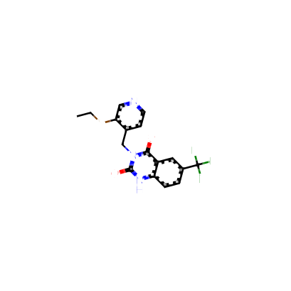 CCSc1cnccc1Cn1c(=O)[nH]c2ccc(C(F)(F)F)cc2c1=O